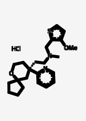 COc1ccsc1CN(C)CC[C@@]1(c2ccccn2)CCOC2(CCCC2)C1.Cl